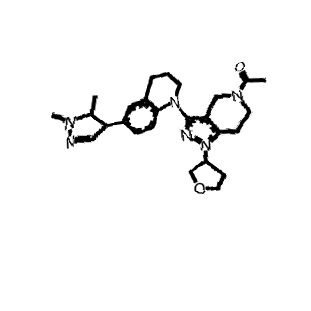 CC(=O)N1CCc2c(c(N3CCCc4cc(C5C=NN(C)C5C)ccc43)nn2C2CCOC2)C1